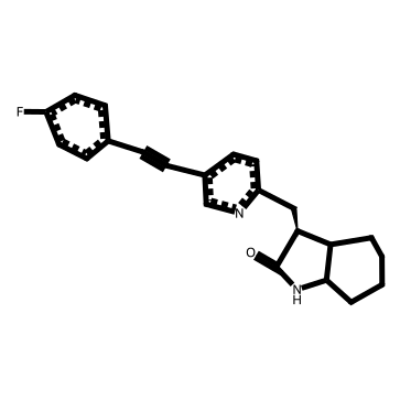 O=C1NC2CCCCC2[C@@H]1Cc1ccc(C#Cc2ccc(F)cc2)cn1